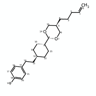 C=CCCC[C@H]1CO[C@H]([C@H]2CC[C@H](CCc3ccc(F)cc3)CC2)OC1